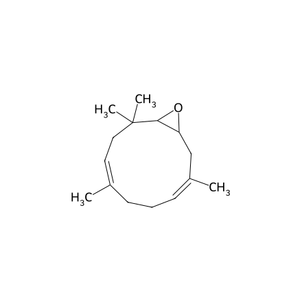 CC1=CCC(C)(C)C2OC2CC(C)=CCC1